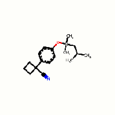 CC(C)C[Si](C)(C)Oc1ccc(C2(C#N)CCC2)cc1